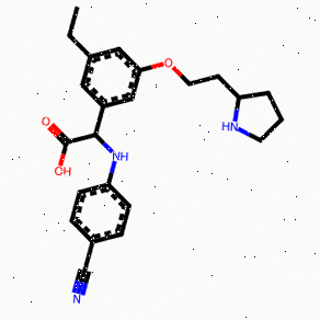 CCc1cc(OCCC2CCCN2)cc(C(Nc2ccc(C#N)cc2)C(=O)O)c1